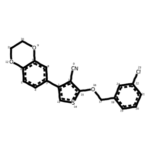 N#Cc1c(-c2ccc3c(c2)OCCO3)csc1OCc1cccc(Cl)c1